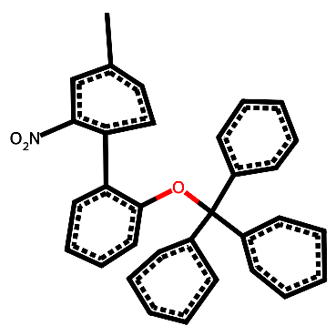 Cc1ccc(-c2ccccc2OC(c2ccccc2)(c2ccccc2)c2ccccc2)c([N+](=O)[O-])c1